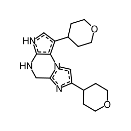 c1[nH]c2c(c1C1CCOCC1)-n1cc(C3CCOCC3)nc1CN2